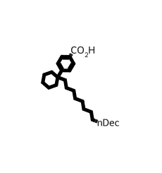 CCCCCCCCCCCCCCCCCCC1(c2ccc(C(=O)O)cc2)CCCCC1